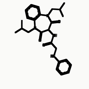 CC(C)CN1C(=O)C(NC(=O)CNc2ccccc2)C(=O)N(CC(C)C)c2ccccc21